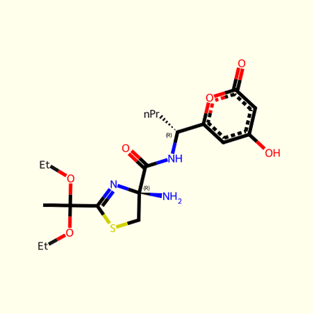 CCC[C@@H](NC(=O)[C@]1(N)CSC(C(C)(OCC)OCC)=N1)c1cc(O)cc(=O)o1